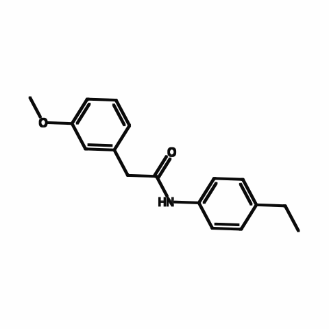 CCc1ccc(NC(=O)Cc2cccc(OC)c2)cc1